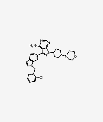 Nc1ncnc2c1c(-c1ccc3ccn(Cc4ccccc4Cl)c3c1)nn2C1CCC(N2CCOCC2)CC1